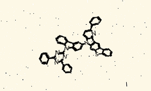 c1ccc(-c2ccc3c(n2)c2cc4c(cc2n3-c2ccc3c(c2)c2ccccc2n3-c2nc(-c3ccccc3)nc(-c3ccccc3)n2)sc2ccccc24)cc1